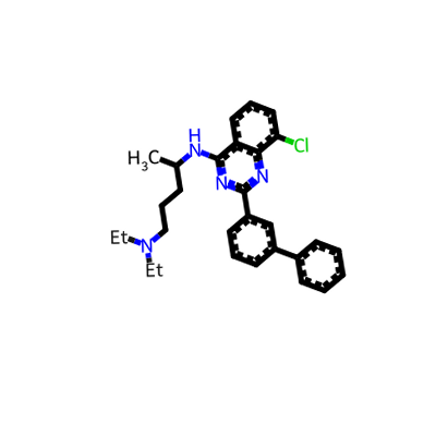 CCN(CC)CCCC(C)Nc1nc(-c2cccc(-c3ccccc3)c2)nc2c(Cl)cccc12